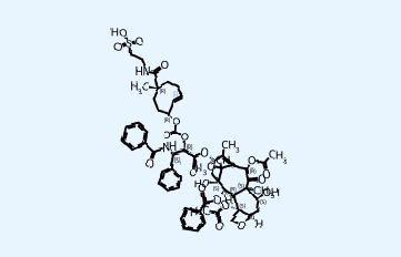 CC(=O)O[C@H]1C(=O)[C@@]2(C)[C@H]([C@H](OC(=O)c3ccccc3)[C@]3(O)C[C@H](OC(=O)[C@H](OC(=O)O[C@H]4/C=C/CC[C@@](C)(C(=O)NCCS(=O)(=O)O)CC4)[C@@H](NC(=O)c4ccccc4)c4ccccc4)C(C)=C1C3(C)C)[C@]1(OC(C)=O)CO[C@@H]1C[C@@H]2O